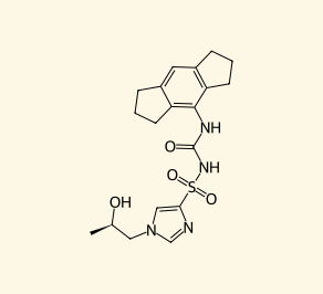 C[C@@H](O)Cn1cnc(S(=O)(=O)NC(=O)Nc2c3c(cc4c2CCC4)CCC3)c1